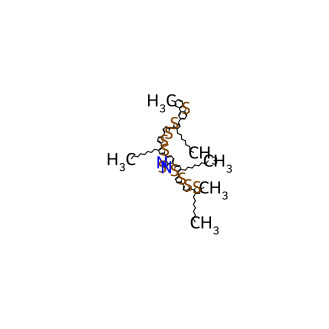 CCCCCCCCc1cc(C)sc1-c1ccc(-c2ccc(-c3sc(-c4ccc(-c5cc(CCCCCCCC)c(-c6ccc(-c7ccc(-c8sc(-c9ccc%10sc%11ccc(C)cc%11c%10c9)cc8CCCCCCCC)s7)s6)s5)c5nsnc45)cc3CCCCCCCC)s2)s1